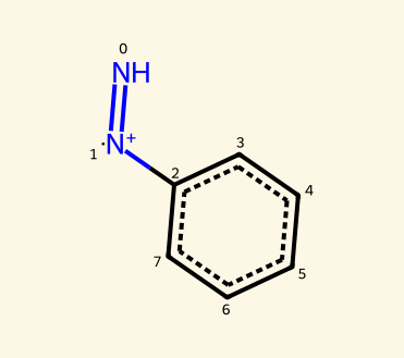 N=[N+]c1ccccc1